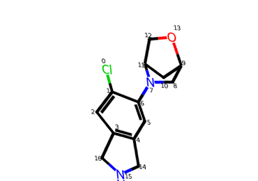 Clc1cc2c(cc1N1CC3CC1CO3)CNC2